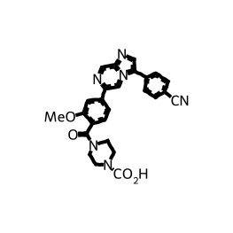 COc1cc(-c2cn3c(-c4ccc(C#N)cc4)cnc3cn2)ccc1C(=O)N1CCN(C(=O)O)CC1